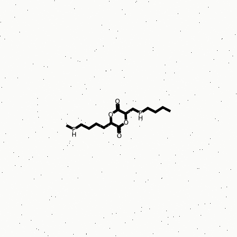 CCCCPCC1OC(=O)C(CCCCPC)OC1=O